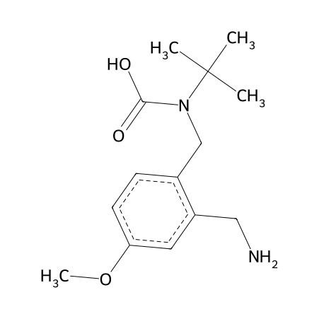 COc1ccc(CN(C(=O)O)C(C)(C)C)c(CN)c1